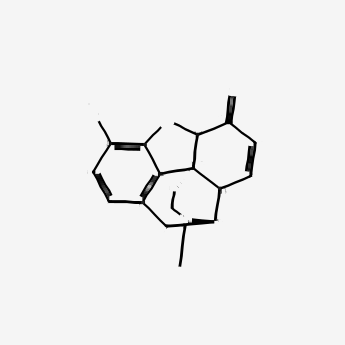 CN1CC[C@]23c4c5ccc(O)c4OC2C(=O)C=CC3C1C5